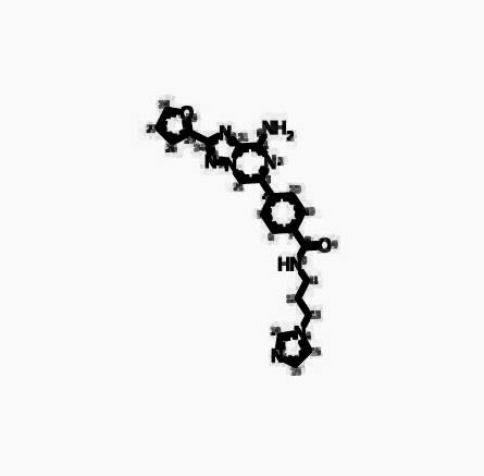 Nc1nc(-c2ccc(C(=O)NCCCn3ccnc3)cc2)cn2nc(-c3ccco3)nc12